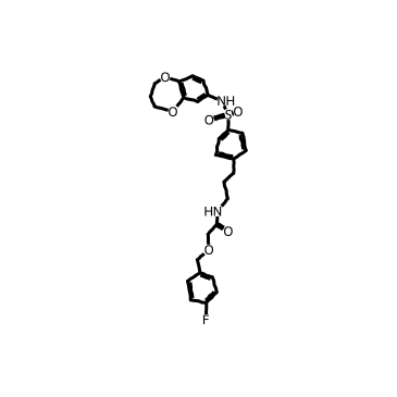 O=C(COCc1ccc(F)cc1)NCCCc1ccc(S(=O)(=O)Nc2ccc3c(c2)OCCCO3)cc1